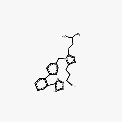 CCCCc1nnc(SCC(C)C)n1Cc1ccc(-c2ccccc2-c2nnn[nH]2)cc1